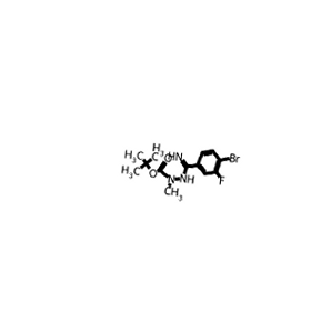 CN(NC(=N)c1ccc(Br)c(F)c1)C(=O)OC(C)(C)C